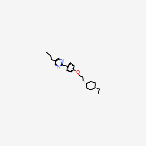 CCCc1cnc(-c2ccc(OCCC[C@H]3CC[C@H](CC)CC3)cc2)nc1